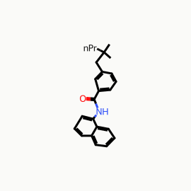 CCCC(C)(C)Cc1cccc(C(=O)Nc2cccc3ccccc23)c1